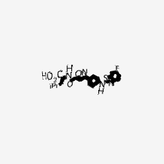 CC(C)C[C@H](NC(=O)c1cc(-c2ccc(Nc3nc4ccc(F)cc4s3)cc2)no1)C(=O)O